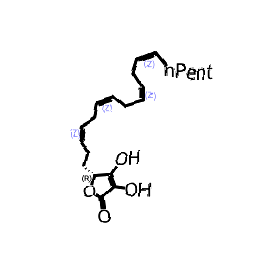 CCCCC/C=C\C/C=C\C/C=C\C/C=C\CC[C@H]1OC(=O)C(O)=C1O